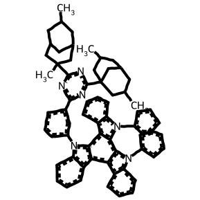 CC1CC2CC(C1)CC(C)(c1nc(-c3cccc(-n4c5ccccc5c5c6c7ccccc7n(-c7ccccc7)c6c6c(c7ccccc7n6-c6ccccc6)c54)c3)nc(C34CC(C)CC(CC(C)C3)C4)n1)C2